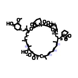 CO[C@@H]1C[C@H](C[C@@H](C)[C@@H]2CC[C@H](C)/C=C(\C)[C@@H](O)[C@@H](OC)C(=O)[C@H](C)C[C@H](C)/C=C/C=C/C=C(\C)C(SN3CCCS3(=O)=O)C[C@@H]3CC[C@@H](C)[C@@](O)(O3)C(=O)C(=O)N3CCCC[C@H]3C(=O)O2)CC[C@H]1O